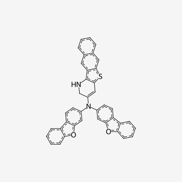 C1=C(N(c2ccc3c(c2)oc2ccccc23)c2ccc3c(c2)oc2ccccc23)CNc2c1sc1cc3ccccc3cc21